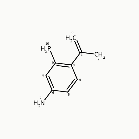 C=C(C)c1ccc(N)cc1P